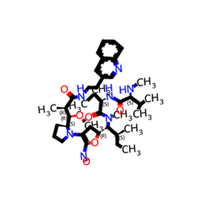 CC[C@H](C)C([C@H]1CC(N2CCC[C@H]2[C@H](OC)[C@@H](C)C(=O)NCCc2cnc3ccccc3c2)=C(N=O)O1)N(C)C(=O)[C@@H](NC(=O)[C@@H](NC)C(C)C)C(C)C